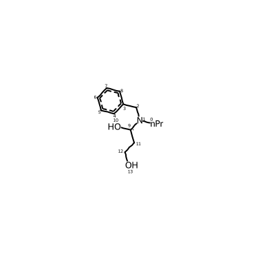 CCCN(Cc1ccccc1)[C](O)CCO